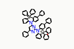 c1ccc(-c2ccc3c(c2)[Si](c2ccccc2)(c2ccccc2)c2ccccc2N3c2cc(-c3ccccc3)nc(N3c4ccccc4[Si](c4ccccc4)(c4ccccc4)c4cc(-c5ccccc5)ccc43)n2)cc1